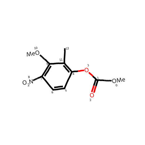 COC(=O)Oc1ccc([N+](=O)[O-])c(OC)c1C